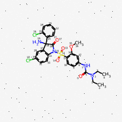 CCN(CC)C(=O)Nc1ccc(S(=O)(=O)N2C(=O)C(N)(c3ccccc3Cl)c3cc(Cl)ccc32)c(OC)c1